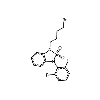 O=S1(=O)N(CCCCBr)c2ccccc2N1c1c(F)cccc1F